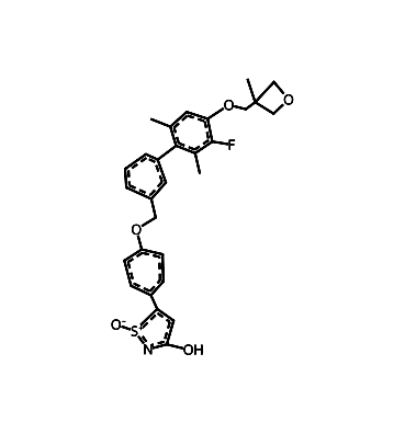 Cc1cc(OCC2(C)COC2)c(F)c(C)c1-c1cccc(COc2ccc(-c3cc(O)n[s+]3[O-])cc2)c1